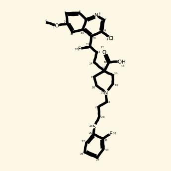 COc1ccc2ncc(Cl)c(C(F)CCC3(C(=O)O)CCN(CCCSc4ccccc4F)CC3)c2c1